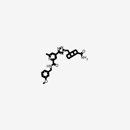 COc1cccc(CNC(=O)c2cc(-c3nnn(CC45C6C7C4C4C5C6C74C(N)=O)n3)cc(C)n2)c1